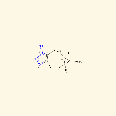 CC1[C@H]2CCc3nnn(N)c3CC[C@@H]12